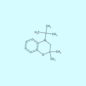 CC1(C)CN(C(C)(C)C)c2ccccc2O1